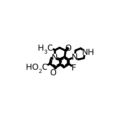 CC1CC(=O)c2c(N3CCNCC3)c(F)cc3c(=O)c(C(=O)O)cn1c23